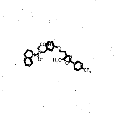 Cc1oc(-c2ccc(C(F)(F)F)cc2)nc1CCOc1cccc(CN(CC(=O)O)[S+]([O-])N2CCCc3ccccc32)c1